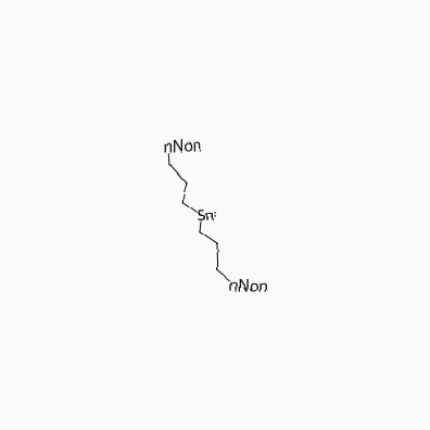 CCCCCCCCCCC[CH2][Sn][CH2]CCCCCCCCCCC